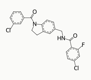 O=C(NCc1ccc2c(c1)CCN2C(=O)c1cccc(Cl)c1)c1ccc(Cl)cc1F